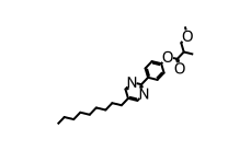 CCCCCCCCCc1cnc(-c2ccc(OC(=O)C(C)COC)cc2)nc1